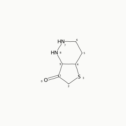 O=C1CSC2CCNNC12